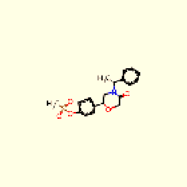 C[C@H](c1ccccc1)N1C[C@H](c2ccc(OS(C)(=O)=O)cc2)OCC1=O